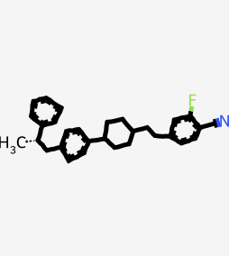 C[C@@H](Cc1ccc(C2CCC(CCc3ccc(C#N)c(F)c3)CC2)cc1)c1ccccc1